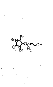 C=CCO.O=C1C(Br)N(Br)C(=O)N1Br